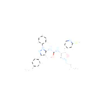 COCCN1C[C@@H](NC(=O)Nc2c(C)c(-c3ccc(OC)cc3)nn2-c2ccccc2)[C@H](c2ccnc(F)c2)O1